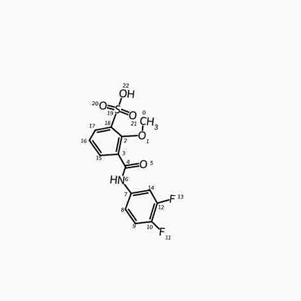 COc1c(C(=O)Nc2ccc(F)c(F)c2)cccc1S(=O)(=O)O